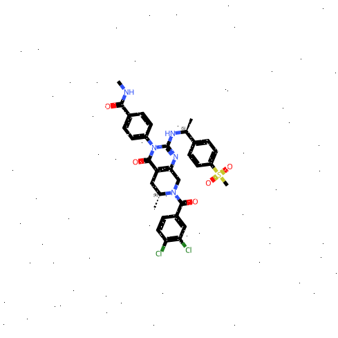 CNC(=O)c1ccc(-n2c(N[C@@H](C)c3ccc(S(C)(=O)=O)cc3)nc3c(c2=O)C[C@@H](C)N(C(=O)c2ccc(Cl)c(Cl)c2)C3)cc1